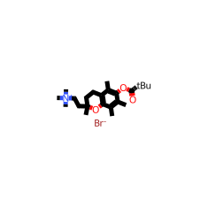 Cc1c(C)c2c(c(C)c1OC(=O)C(C)(C)C)CCC(C)(CC[N+](C)(C)C)O2.[Br-]